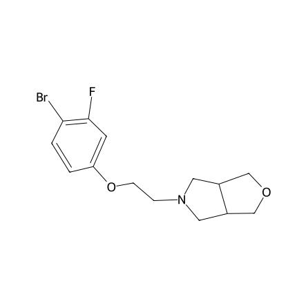 Fc1cc(OCCN2CC3COCC3C2)ccc1Br